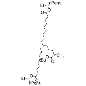 CCCCCC(CC)OC(=O)CCCCCCCCN(CCCCCCCCC(=O)OC(CC)CCCCC)CCCN(C)C(=O)OC(C)(C)C